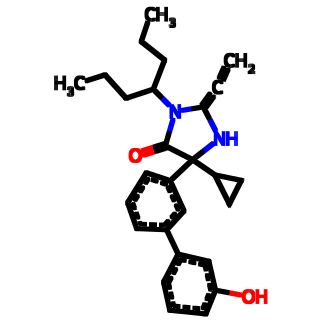 C=C=C1NC(c2cccc(-c3cccc(O)c3)c2)(C2CC2)C(=O)N1C(CCC)CCC